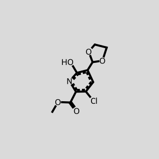 COC(=O)c1nc(O)c(C2OCCO2)cc1Cl